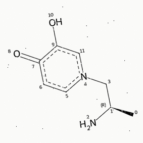 C[C@@H](N)Cn1ccc(=O)c(O)c1